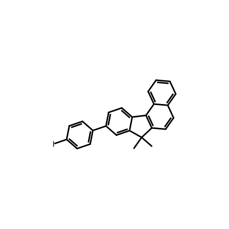 CC1(C)c2cc(-c3ccc(I)cc3)ccc2-c2c1ccc1ccccc21